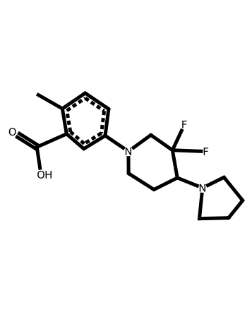 Cc1ccc(N2CCC(N3CCCC3)C(F)(F)C2)cc1C(=O)O